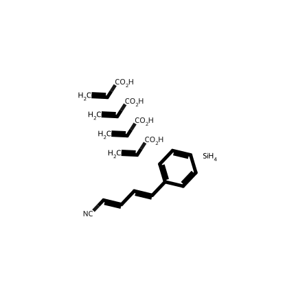 C=CC(=O)O.C=CC(=O)O.C=CC(=O)O.C=CC(=O)O.N#CC=CC=Cc1ccccc1.[SiH4]